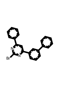 Brc1nc(-c2ccccc2)cc(-c2cccc(-c3ccccc3)c2)n1